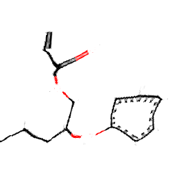 C=CC(=O)OCC(CCC)Oc1ccccc1